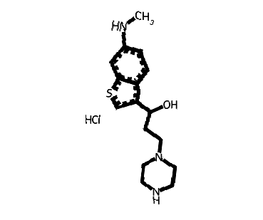 CNc1ccc2c(C(O)CCN3CCNCC3)csc2c1.Cl